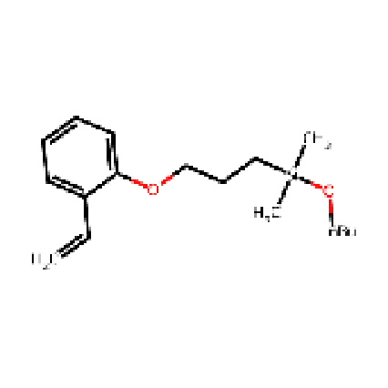 C=Cc1ccccc1OCCC[Si](C)(C)OCCCC